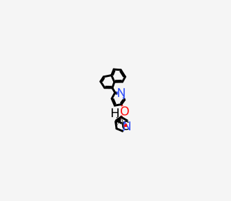 c1ccc2c(-c3ccc(O[C@H]4CN5CCC4CC5)cn3)cccc2c1